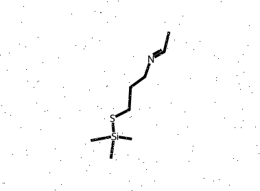 CC=NCCCS[Si](C)(C)C